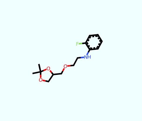 CC1(C)OCC(COCCNc2ccccc2F)O1